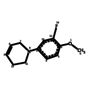 COc1ccc(N2CC=CCC2)cc1F